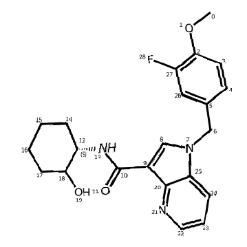 COc1ccc(Cn2cc(C(=O)N[C@H]3CCCCC3O)c3ncccc32)cc1F